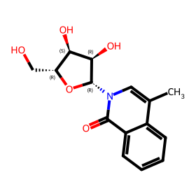 Cc1cn([C@@H]2O[C@H](CO)[C@@H](O)[C@H]2O)c(=O)c2ccccc12